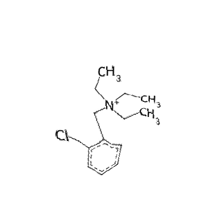 CC[N+](CC)(CC)Cc1ccccc1Cl